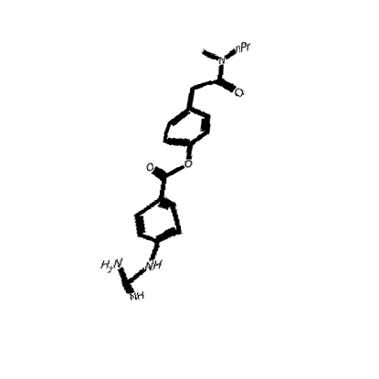 CCCN(C)C(=O)Cc1ccc(OC(=O)c2ccc(NC(=N)N)cc2)cc1